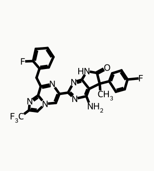 CC1(c2ccc(F)cc2)C(=O)Nc2nc(-c3cn4cc(C(F)(F)F)nc4c(Cc4ccccc4F)n3)nc(N)c21